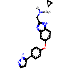 C1CC1.CCN(Cc1nc2cc(Oc3ccc(-c4ccn[nH]4)cc3)ccc2[nH]1)C(=O)O